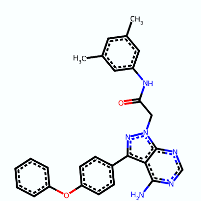 Cc1cc(C)cc(NC(=O)Cn2nc(-c3ccc(Oc4ccccc4)cc3)c3c(N)ncnc32)c1